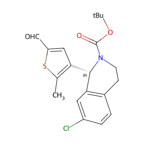 Cc1sc(C=O)cc1[C@H]1c2cc(Cl)ccc2CCN1C(=O)OC(C)(C)C